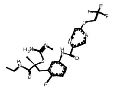 CCNC(=O)[C@@](C)(Cc1cc(NC(=O)c2cnc(OCC(F)(F)F)cn2)ccc1F)S/C(N)=N\C